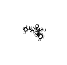 CC(C)(C)OC(=O)NC(CCc1ccccc1)CCS(=O)(=O)c1ccccc1